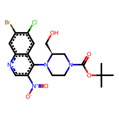 CC(C)(C)OC(=O)N1CCN(c2c([N+](=O)[O-])cnc3cc(Br)c(Cl)cc23)[C@@H](CO)C1